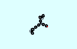 c1ccc(-c2ccc(N(c3ccc(-c4ccc(-c5ccc6oc7ccccc7c6c5)cc4)cc3)c3ccc(-c4cccc5c4oc4ccccc45)cc3)cc2)cc1